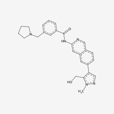 Cn1ncc(-c2ccc3cnc(NC(=O)c4cccc(CN5CCCC5)c4)cc3c2)c1CO